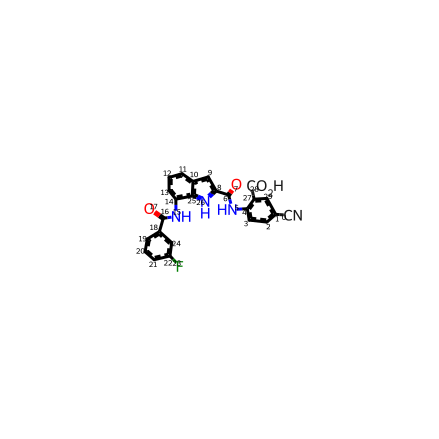 N#Cc1ccc(NC(=O)c2cc3cccc(NC(=O)c4cccc(F)c4)c3[nH]2)c(C(=O)O)c1